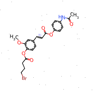 COc1cc(/C=C/C(=O)Oc2ccc(NC(C)=O)cc2)ccc1OC(=O)CCCBr